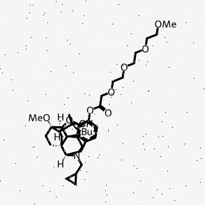 COCCOCCOCCOCC(=O)Oc1ccc2c3c1O[C@H]1[C@]4(OC)CC[C@@]5(C[C@@H]4[C@](C)(O)C(C)(C)C)[C@@H](C2)N(CC2CC2)CC[C@]315